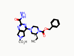 N#CC[C@H]1CN(c2nc(C(=O)NN)nc3c2CN(C(=O)O)C3)CCN1C(=O)OCc1ccccc1